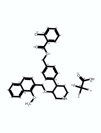 COc1c(COC2CNCCC2c2ccc(COC(=O)c3ccccc3Cl)cc2)ccc2ccccc12.O=C(O)C(F)(F)F